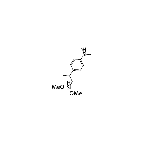 CO[SiH](CC(C)c1ccc([SiH](C)C)cc1)OC